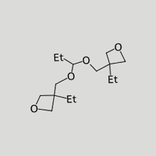 CCC(OCC1(CC)COC1)OCC1(CC)COC1